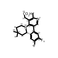 Cc1ncc(-c2ccc(F)c(F)c2)c(N2CCC(C)(C)CC2)c1CC(=O)O